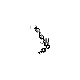 CCOc1ccc(-c2cccc3[nH]c(C(=O)NC4CCN(CCN5CCC(O)CC5)CC4)cc23)cc1